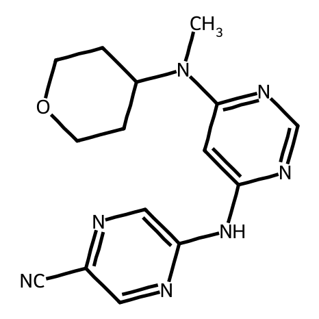 CN(c1cc(Nc2cnc(C#N)cn2)ncn1)C1CCOCC1